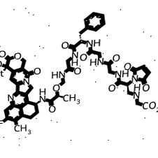 CC[C@@]1(O)C(=O)OCc2c1cc1n(c2=O)Cc2c-1nc1cc(F)c(C)c3c1c2[C@@H](NC(=O)[C@H](C)OCNC(=O)CNC(=O)[C@H](Cc1ccccc1)NC(=O)CNC(=O)CNC(=O)[C@H](CNCC(=O)O)N1C(=O)C=CC1=O)CC3